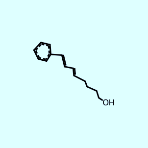 OCCCCC=CC=Cc1ccccc1